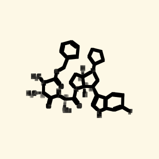 C[C@@H](C(=O)N[C@H](C(=O)N1CC[C@@H]2[C@H]1[C@H](c1c[nH]c3cc(F)ccc13)CN2C1CCCC1)C(C)(C)C)N(C)C(=O)OCc1ccccc1